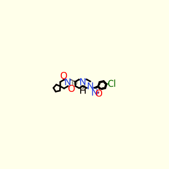 O=C1CC2(CCCC2)CC(=O)N1C[C@H]1CC[C@H]2CN(c3noc4cc(Cl)ccc34)CCN2C1